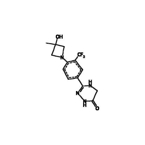 CC1(O)CN(c2ccc(C3=NNC(=O)CN3)cc2C(F)(F)F)C1